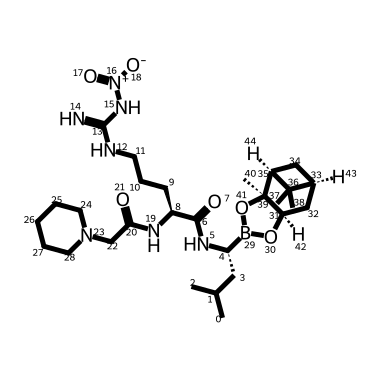 CC(C)C[C@H](NC(=O)[C@H](CCCNC(=N)N[N+](=O)[O-])NC(=O)CN1CCCCC1)B1O[C@@H]2C[C@@H]3C[C@@H](C3(C)C)[C@]2(C)O1